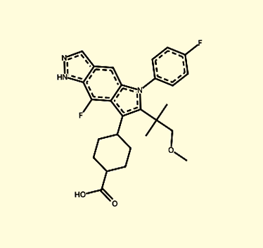 COCC(C)(C)c1c(C2CCC(C(=O)O)CC2)c2c(F)c3[nH]ncc3cc2n1-c1ccc(F)cc1